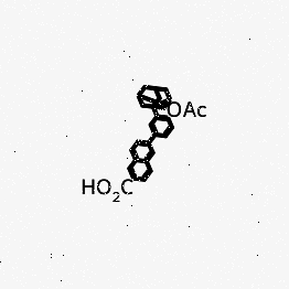 CC(=O)Oc1ccc(-c2ccc3cc(C(=O)O)ccc3c2)cc1C12CC3CC(CC(C3)C1)C2